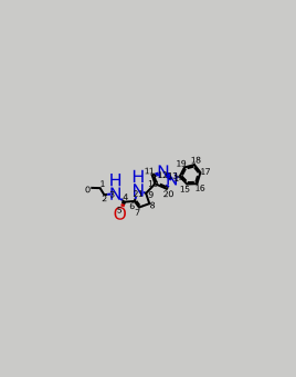 CCCNC(=O)C1=CCC(c2cnn(-c3ccccc3)c2)N1